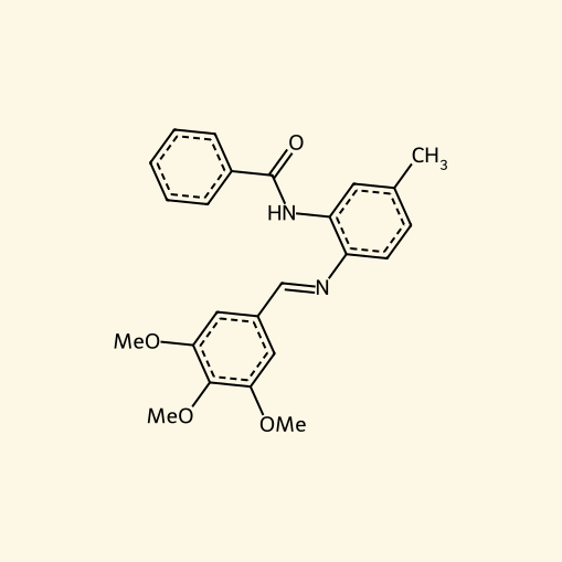 COc1cc(/C=N/c2ccc(C)cc2NC(=O)c2ccccc2)cc(OC)c1OC